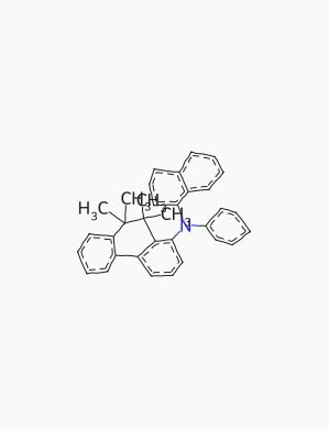 CC1(C)c2ccccc2-c2cccc(N(c3ccccc3)c3cccc4ccccc34)c2C1(C)C